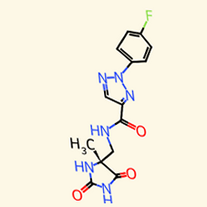 C[C@]1(CNC(=O)c2cnn(-c3ccc(F)cc3)n2)NC(=O)NC1=O